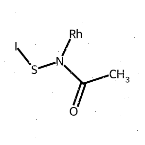 CC(=O)[N]([Rh])SI